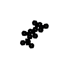 c1ccc(-c2cc(-c3ccc4c5c(ccc6c7cc(-n8c9ccccc9c9ccc%10c(c%11ccccc%11n%10-c%10ccccc%10)c98)ccc7n(-c7ccccc7)c65)n(-c5ccccc5)c4c3)nc(-c3ccccc3)n2)cc1